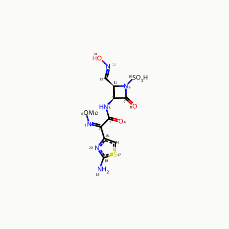 CON=C(C(=O)N[C@@H]1C(=O)N(S(=O)(=O)O)[C@@H]1C=NO)c1csc(N)n1